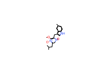 COC1=C(Cc2c[nH]c3ccc(C)cc23)[N+](=O)CC(CC(C)C)=[N+]1[O-]